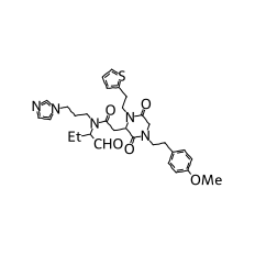 CCC(C=O)N(CCCn1ccnc1)C(=O)CC1C(=O)N(CCc2ccc(OC)cc2)CC(=O)N1CCc1cccs1